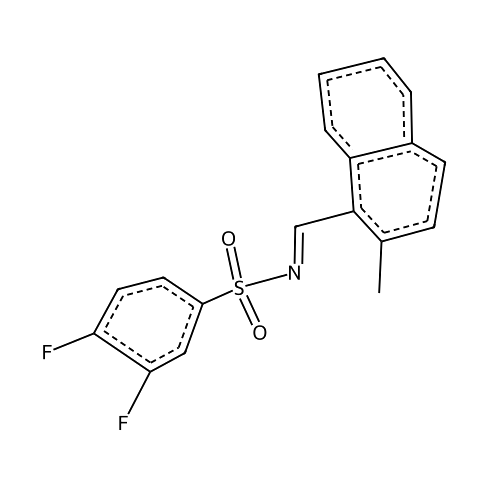 Cc1ccc2ccccc2c1/C=N/S(=O)(=O)c1ccc(F)c(F)c1